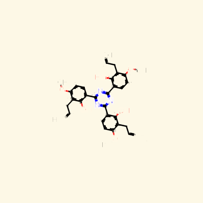 C=CCc1c(OC)ccc(-c2nc(-c3ccc(OC)c(CC=C)c3O)nc(-c3ccc(OC)c(CC=C)c3O)n2)c1O